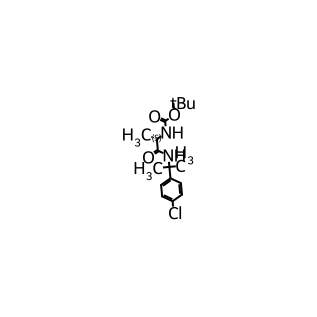 C[C@H](NC(=O)OC(C)(C)C)C(=O)NC(C)(C)c1ccc(Cl)cc1